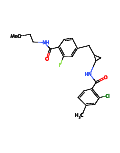 COCCNC(=O)c1ccc(CC2CC2NC(=O)c2ccc(C)cc2Cl)cc1F